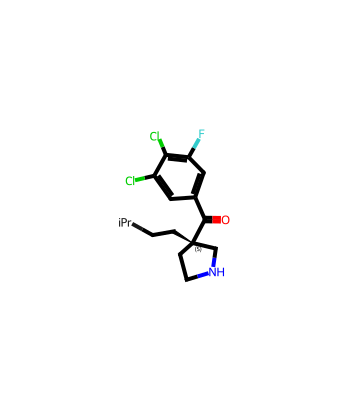 CC(C)CC[C@]1(C(=O)c2cc(F)c(Cl)c(Cl)c2)CCNC1